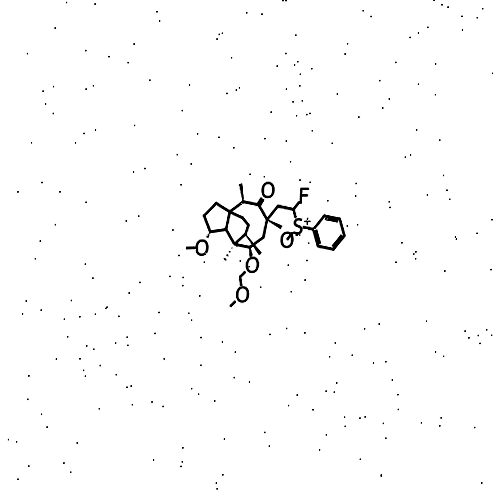 COCO[C@@H]1C[C@@](C)(CC(F)[S+]([O-])c2ccccc2)C(=O)[C@H](C)C23CC[C@@H](C)[C@]1(C)C2[C@H](OC)CC3